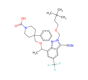 CC(OCC1(c2ccccc2)CCN(C(=O)O)CC1)c1cc(C(F)(F)F)cc2c(C#N)n(COCC[Si](C)(C)C)nc12